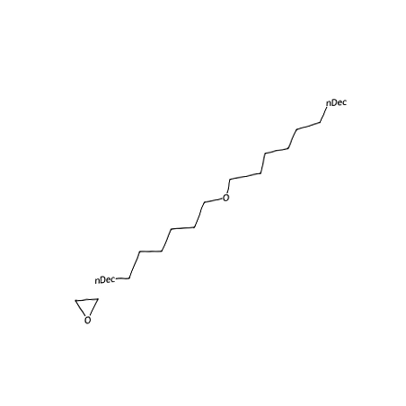 C1CO1.CCCCCCCCCCCCCCCCOCCCCCCCCCCCCCCCC